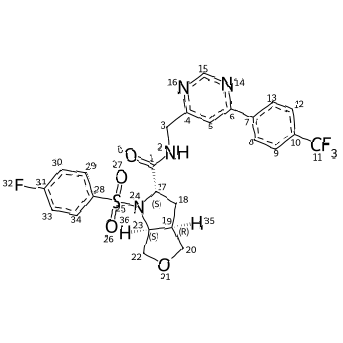 O=C(NCc1cc(-c2ccc(C(F)(F)F)cc2)ncn1)[C@@H]1C[C@H]2COC[C@H]2N1S(=O)(=O)c1ccc(F)cc1